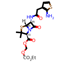 CCOC(=O)OCOC(=O)[C@@H]1N2C(=O)[C@@H](NC(=O)Cc3ccsc3N)[C@H]2SC1(C)C